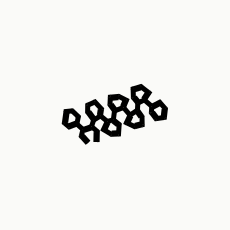 C=C/C(C1=CC=CCC1)=C(\C=C)C1=CCCC=C1c1ccccc1-c1ccccc1-c1ccccc1-c1ccccc1-c1ccccc1